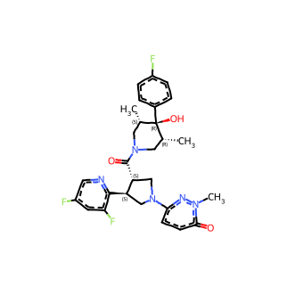 C[C@@H]1CN(C(=O)[C@@H]2CN(c3ccc(=O)n(C)n3)C[C@H]2c2ncc(F)cc2F)C[C@H](C)[C@]1(O)c1ccc(F)cc1